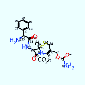 NC(=O)OCC1=C(C(=O)O)N2C(=O)C(NC(=O)C(N)c3ccccc3)[C@@H]2SC1